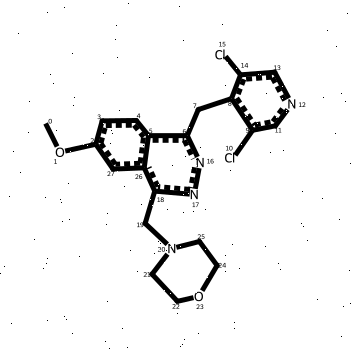 COc1ccc2c(Cc3c(Cl)cncc3Cl)nnc(CN3CCOCC3)c2c1